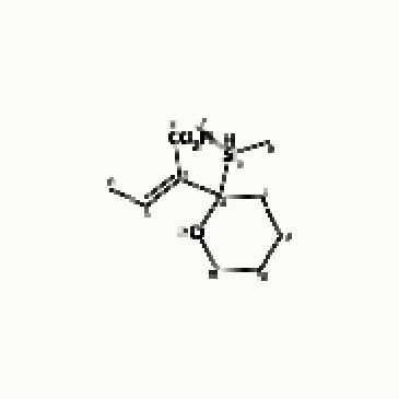 CC=C(C(=O)O)C1([SiH](C)C)CCCCO1